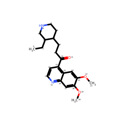 CCC1CNCCC1CCC(=O)c1ccnc2cc(OC)c(OC)cc12